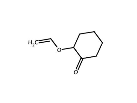 C=COC1CCCCC1=O